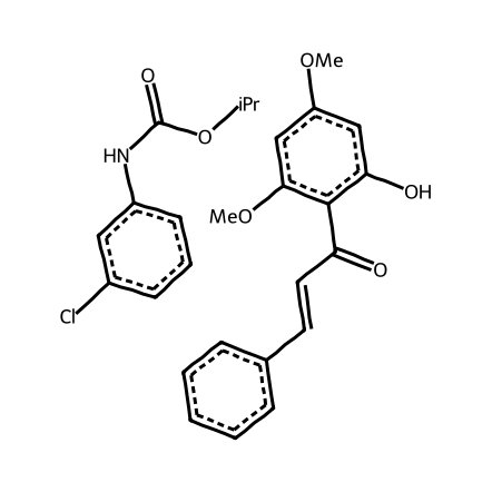 CC(C)OC(=O)Nc1cccc(Cl)c1.COc1cc(O)c(C(=O)C=Cc2ccccc2)c(OC)c1